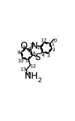 Cc1ccc(Sc2ccccc2CCN)c([N+](=O)[O-])c1